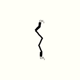 C=C=CCCC=C